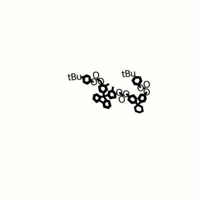 Cc1cc(C2(c3ccc(OC(=O)Oc4ccc(C5(c6ccc(OC(=O)Oc7ccc(C(C)(C)C)cc7)cc6)CCCCC5)cc4)c(C)c3)c3ccccc3-c3ccccc32)ccc1OC(=O)Oc1ccc(C(C)(C)C)cc1